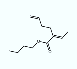 C=CCC/C(=C\C)C(=O)OCCCC